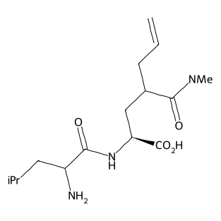 C=CCC(C[C@H](NC(=O)C(N)CC(C)C)C(=O)O)C(=O)NC